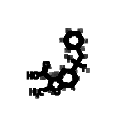 Cc1oc2ccc(C(F)(F)Cc3ccccc3)cc2c1C(=O)O